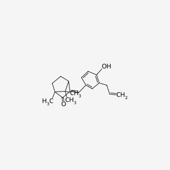 C=CCc1cc(C=C2C(=O)C3(C)CCC2C3(C)C)ccc1O